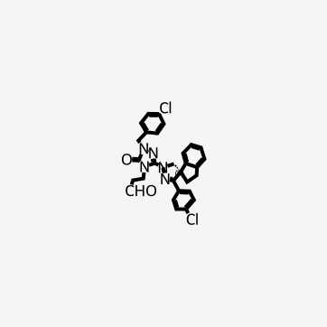 O=CCCn1c(N2C[C@]3(CCc4ccccc43)C(c3ccc(Cl)cc3)=N2)nn(Cc2ccc(Cl)cc2)c1=O